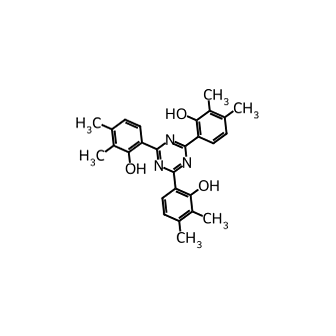 Cc1ccc(-c2nc(-c3ccc(C)c(C)c3O)nc(-c3ccc(C)c(C)c3O)n2)c(O)c1C